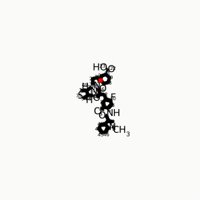 Cn1cc(C(=O)Nc2cc(F)c(CC(=O)C(O[C@H]3CC[C@H](C(=O)O)CC3)(N3CCCC3)N3C[C@H]4CSC[C@H]4C3)cc2Cl)c2ccccc21